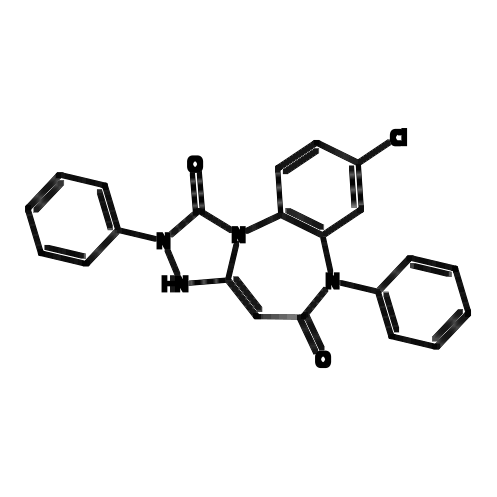 O=C1N(c2ccccc2)NC2=CC(=O)N(c3ccccc3)c3cc(Cl)ccc3N12